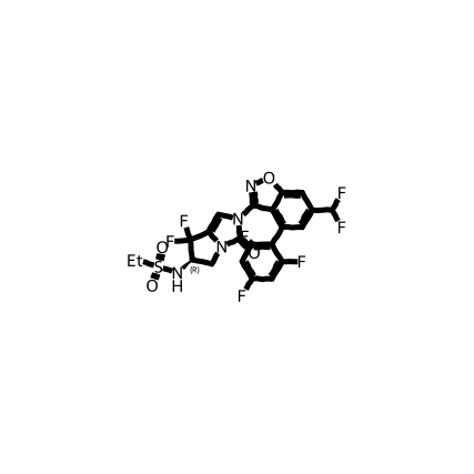 CCS(=O)(=O)N[C@@H]1Cn2c(cn(-c3noc4cc(C(F)F)cc(-c5c(F)cc(F)cc5F)c34)c2=O)C1(F)F